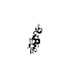 C[C@@H]1CNc2c(oc3ccc4nc(Oc5ccnc(F)n5)ccc4c23)C(=O)N1